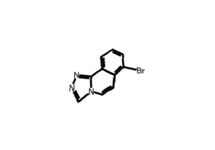 Brc1cccc2c1ccn1cnnc21